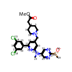 COC(=O)CC1CCN(Cc2cc(-c3cc(Cl)cc(Cl)c3)nc(N(C)c3cnc([S+](C)[O-])nc3)c2)CC1